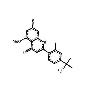 COc1cc(F)cc2[nH]c(-c3ccc(C(C)(C)C(F)(F)F)cc3C)cc(=O)c12